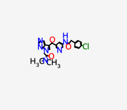 CN(C)C(=O)Cn1cc(C(=O)c2cncc(NC(=O)Cc3ccc(Cl)cc3)c2)c2cncnc21